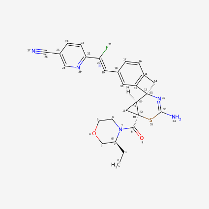 CC[C@H]1COCCN1C(=O)[C@]12C[C@H]1[C@]1(Cc3ccc(/C=C(\F)c4ccc(C#N)cn4)cc31)N=C(N)S2